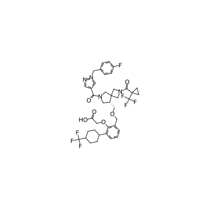 O=C(O)COc1c(COC[C@@H]2CN(C(=O)c3cnn(Cc4ccc(F)cc4)c3)CC23CN(C(=O)C2(C(F)(F)F)CC2)C3)cccc1C1CCC(C(F)(F)F)CC1